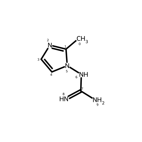 Cc1nccn1NC(=N)N